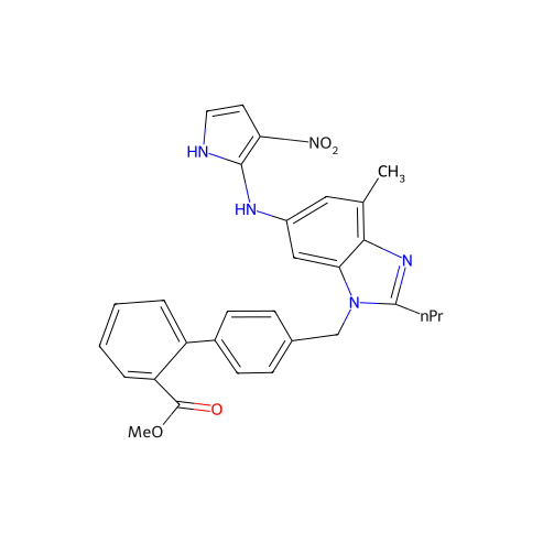 CCCc1nc2c(C)cc(Nc3[nH]ccc3[N+](=O)[O-])cc2n1Cc1ccc(-c2ccccc2C(=O)OC)cc1